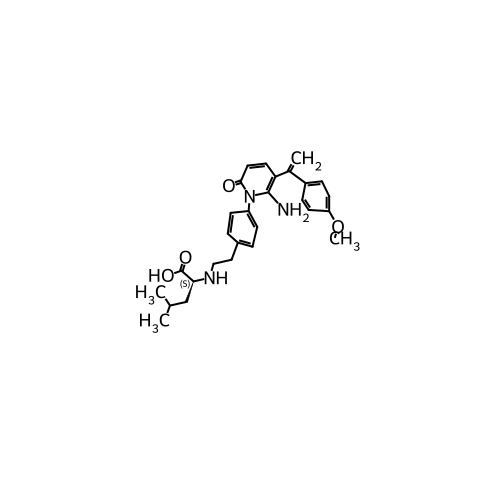 C=C(c1ccc(OC)cc1)c1ccc(=O)n(-c2ccc(CCN[C@@H](CC(C)C)C(=O)O)cc2)c1N